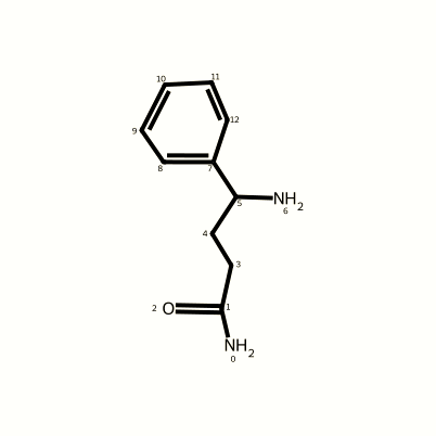 NC(=O)CCC(N)c1ccccc1